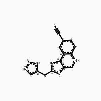 N#Cc1ccc2ncc3nc(Cc4c[nH]nn4)[nH]c3c2c1